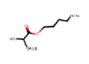 CCCCCCCCCCCCCCOC(=O)C(CCCC)CCCCCC